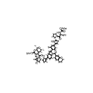 COC(=O)NC(C(=O)N1CCC[C@H]1c1ncc(-c2cc(F)c3c(c2)OC(c2ccc4c(c2)OCCC4)n2c-3cc3cc(-c4cnc([C@@H]5C[C@H]6C[C@H]6N5C(=O)C(NC(=O)OC)C5C[C@@H](C)O[C@@H](C)C5)[nH]4)ccc32)[nH]1)C(C)C